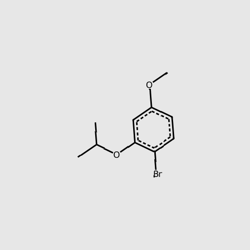 COc1ccc(Br)c(OC(C)C)c1